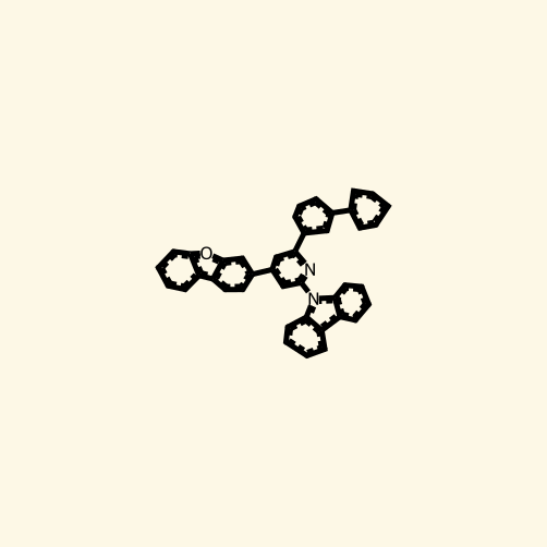 c1ccc(-c2cccc(-c3cc(-c4ccc5c(c4)oc4ccccc45)cc(-n4c5ccccc5c5ccccc54)n3)c2)cc1